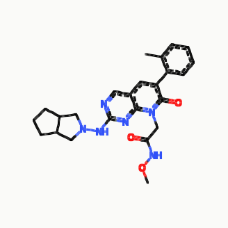 CONC(=O)Cn1c(=O)c(-c2ccccc2C)cc2cnc(NN3CC4CCCC4C3)nc21